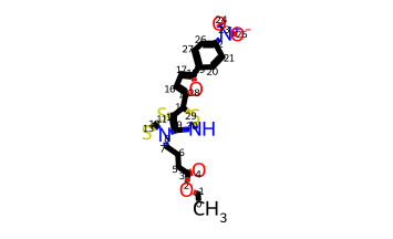 CCOC(=O)CCCn1c2c(sc1=S)C(c1ccc(-c3ccc([N+](=O)[O-])cc3)o1)SN2